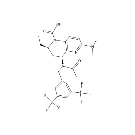 CC[C@@H]1C[C@H](N(Cc2cc(C(F)(F)F)cc(C(F)(F)F)c2)C(C)=O)c2nc(N(C)C)ccc2N1C(=O)O